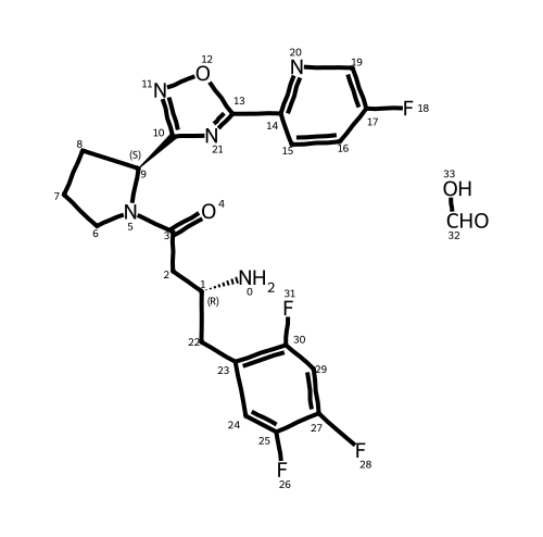 N[C@@H](CC(=O)N1CCC[C@H]1c1noc(-c2ccc(F)cn2)n1)Cc1cc(F)c(F)cc1F.O=CO